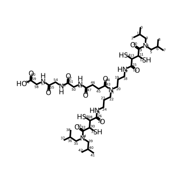 CC(C)CN(CC(C)C)C(=O)C(S)C(S)C(=O)NCCCN(CCCNC(=O)C(S)C(S)C(=O)N(CC(C)C)CC(C)C)C(=O)CCC(=O)NCC(=O)NCC(=O)NCC(=O)O